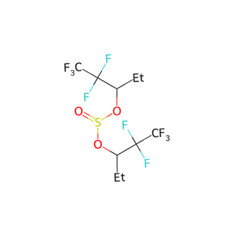 CCC(OS(=O)OC(CC)C(F)(F)C(F)(F)F)C(F)(F)C(F)(F)F